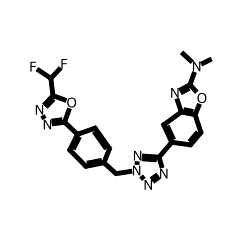 CN(C)c1nc2cc(-c3nnn(Cc4ccc(-c5nnc(C(F)F)o5)cc4)n3)ccc2o1